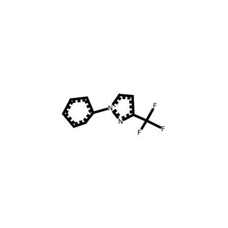 FC(F)(F)c1c[c]n(-c2ccccc2)n1